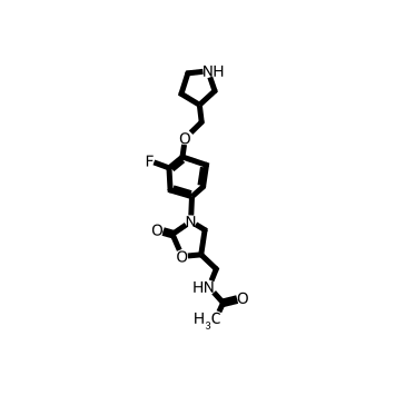 CC(=O)NCC1CN(c2ccc(OCC3CCNC3)c(F)c2)C(=O)O1